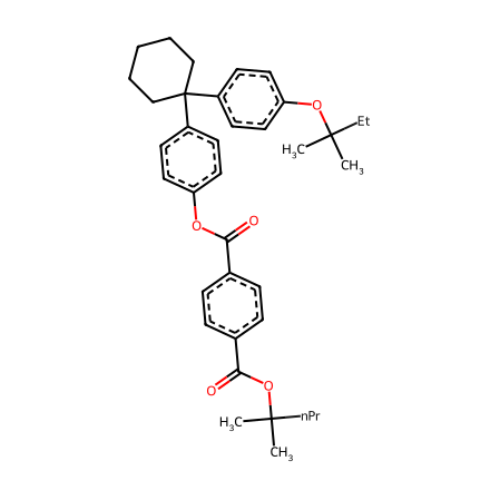 CCCC(C)(C)OC(=O)c1ccc(C(=O)Oc2ccc(C3(c4ccc(OC(C)(C)CC)cc4)CCCCC3)cc2)cc1